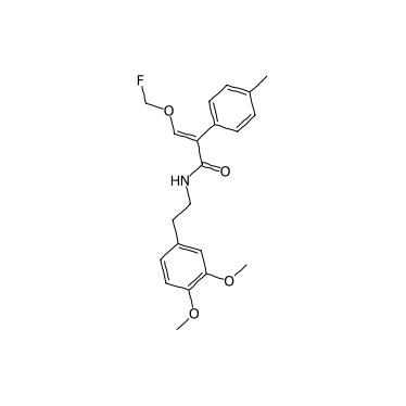 COc1ccc(CCNC(=O)C(=COCF)c2ccc(C)cc2)cc1OC